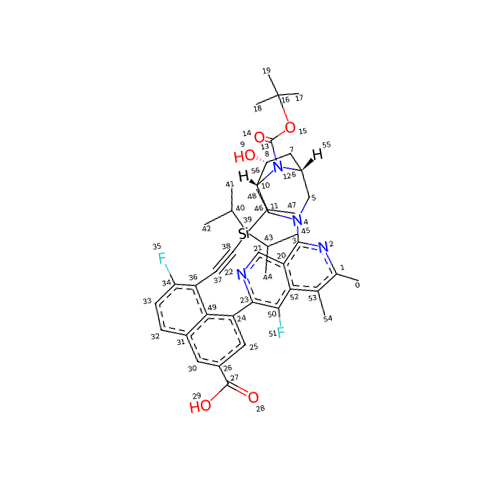 Cc1nc(N2C[C@H]3C[C@@H](O)[C@@H](C2)N3C(=O)OC(C)(C)C)c2cnc(-c3cc(C(=O)O)cc4ccc(F)c(C#C[Si](C(C)C)(C(C)C)C(C)C)c34)c(F)c2c1C